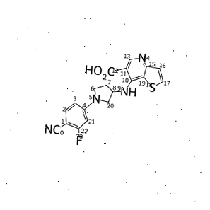 N#Cc1ccc(N2CCC(Nc3c(C(=O)O)cnc4ccsc34)C2)cc1F